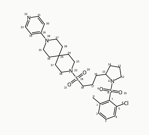 Cc1cccc(Cl)c1S(=O)(=O)N1CCCC1CCCS(=O)(=O)N1CCC2(CCN(c3ccncc3)CC2)CC1